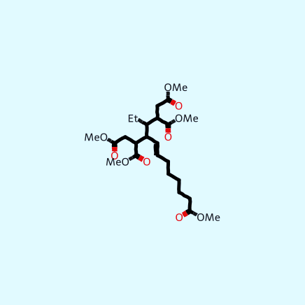 CCC(C(CC(=O)OC)C(=O)OC)C(/C=C/CCCCCC(=O)OC)C(CC(=O)OC)C(=O)OC